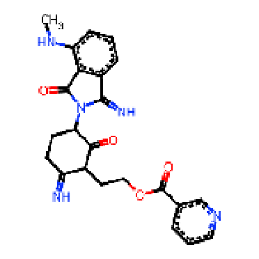 CNc1cccc2c1C(=O)N(C1CCC(=N)C(CCOC(=O)c3cccnc3)C1=O)C2=N